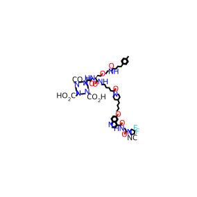 Cc1ccc(CCCC(=O)NCCOCC[C@H](NC(=O)CN2CCN(CC(=O)O)CCN(CC(=O)O)CCN(CC(=O)O)CC2)C(=O)NCCCCCC(=O)N2CCC(CCCCOc3ccc4nccc(C(=O)NCC(=O)N5CC(F)(F)C[C@@H]5C#N)c4c3)CC2)cc1